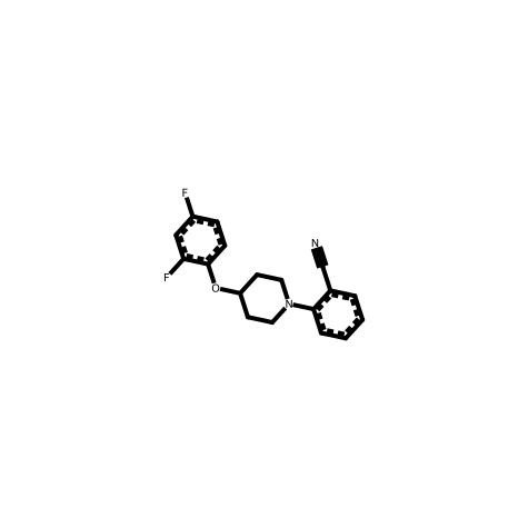 N#Cc1ccccc1N1CCC(Oc2ccc(F)cc2F)CC1